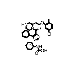 Cc1ccc(Cl)cc1OCC[C@@H]1CNCCN1C(=O)c1ncn([C@H]2CCCC[C@@H]2NC(=O)O)c1-c1ccccc1